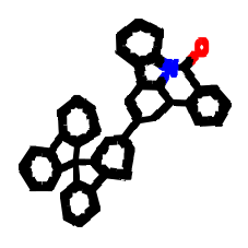 O=C1c2ccccc2C2CC(c3ccc4c(c3)C3(c5ccccc5-c5ccccc53)c3ccccc3-4)=Cc3c2n1c1ccccc31